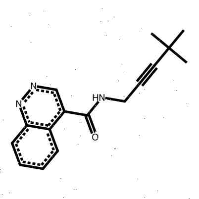 CC(C)(C)C#CCNC(=O)c1cnnc2ccccc12